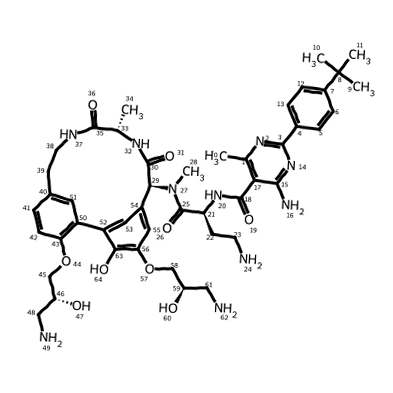 Cc1nc(-c2ccc(C(C)(C)C)cc2)nc(N)c1C(=O)N[C@@H](CCN)C(=O)N(C)[C@@H]1C(=O)N[C@@H](C)C(=O)NCCc2ccc(OC[C@H](O)CN)c(c2)-c2cc1cc(OC[C@H](O)CN)c2O